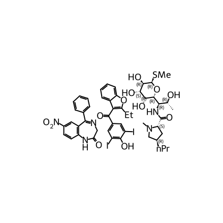 CCC[C@@H]1C[C@@H](C(=O)N[C@@H]([C@H]2O[C@H](SC)[C@H](O)[C@@H](O)[C@H]2O)[C@@H](C)O)N(C)C1.CCc1oc2ccccc2c1C(=O)c1cc(I)c(O)c(I)c1.O=C1CN=C(c2ccccc2)c2cc([N+](=O)[O-])ccc2N1